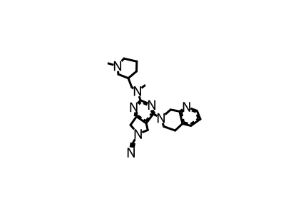 CN1CCCC(CN(C)c2nc3c(c(N4CCc5cccnc5C4)n2)CN(C#N)C3)C1